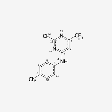 FC(F)(F)c1cc(Nc2ccc(Cl)cc2)nc(Cl)n1